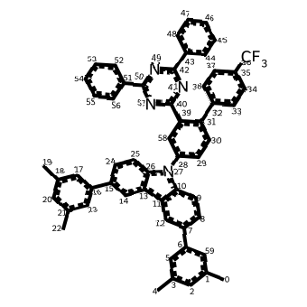 Cc1cc(C)cc(-c2ccc3c(c2)c2cc(-c4cc(C)cc(C)c4)ccc2n3-c2ccc(-c3ccc(C(F)(F)F)cc3)c(-c3nc(-c4ccccc4)nc(-c4ccccc4)n3)c2)c1